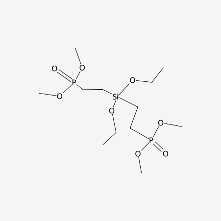 CCO[Si](CCP(=O)(OC)OC)(CCP(=O)(OC)OC)OCC